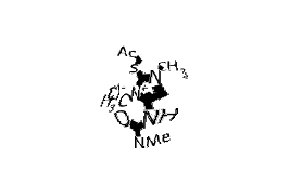 CNC(=O)Nc1cn(C)c(SCC(C)=O)[n+]1C.[Cl-]